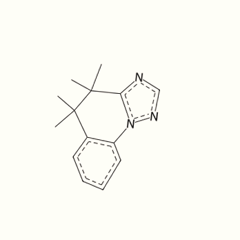 CC1(C)c2ccccc2-n2ncnc2C1(C)C